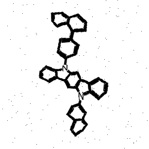 c1ccc2cc(-n3c4ccccc4c4cc5c(cc43)c3ccccc3n5-c3ccc(-c4cccc5ccccc45)cc3)ccc2c1